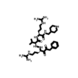 CC(C)[C@H](NN[C@@H](CCCNC(N)N)C(=O)C(=O)Cc1ccccc1)C(=O)N[C@@H](CCCNC(N)N)C(=O)NCC1CCNCC1